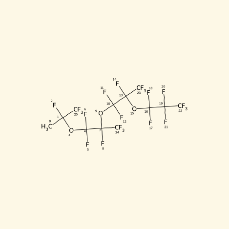 CC(F)(OC(F)(F)C(F)(OC(F)(F)C(F)(OC(F)(F)C(F)(F)C(F)(F)F)C(F)(F)F)C(F)(F)F)C(F)(F)F